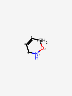 C1=C[SiH2]ONC1